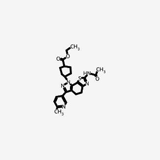 CCOC(=O)C1CCC(n2nc(-c3ccc(C)nc3)c3c2-c2sc(NC(C)=O)nc2CC3)CC1